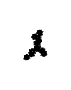 c1ccc(-c2ccc3cc(-c4nc(-c5ccc6ccccc6c5)nc(-c5ccc6c(c5)oc5cc(-c7ccccc7)c7ccccc7c56)n4)ccc3c2)cc1